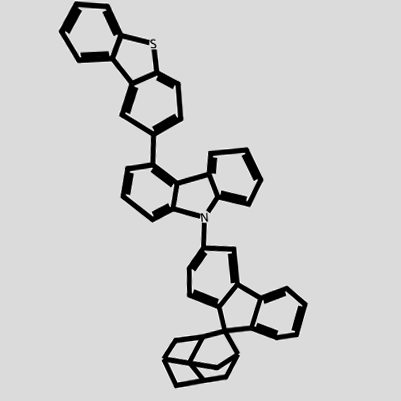 c1ccc2c(c1)-c1cc(-n3c4ccccc4c4c(-c5ccc6sc7ccccc7c6c5)cccc43)ccc1C21C2CC3CC(C2)CC1C3